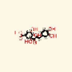 O=C(O)C1=CC(O)C(O)C(O)(C(=O)C=Cc2ccc(O)c(O)c2)C1